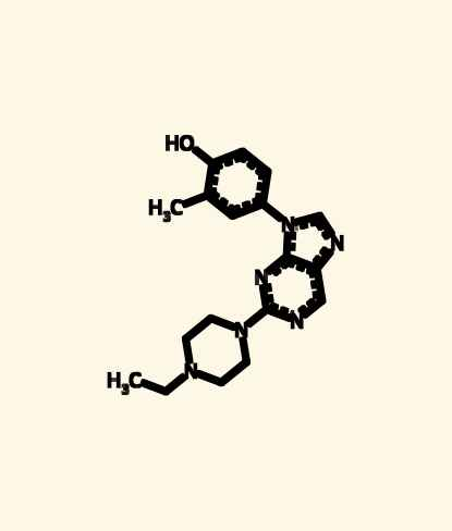 CCN1CCN(c2ncc3ncn(-c4ccc(O)c(C)c4)c3n2)CC1